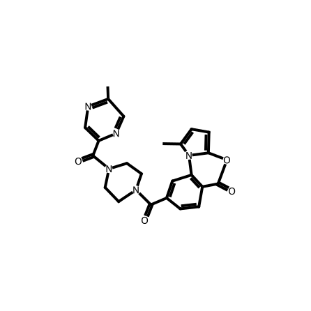 Cc1cnc(C(=O)N2CCN(C(=O)c3ccc4c(=O)oc5ccc(C)n5c4c3)CC2)cn1